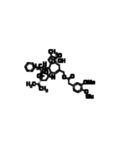 C=C(C)[C@]12C[C@@H]3O[C@](Cc4ccccc4)(O1)O[C@]1([C@H](C)C2)[C@H]3C=C(COC(=O)Cc2ccc(OC(C)(C)C)c(OC)c2)C[C@]2(O)C(=O)C(C)=C[C@@H]12